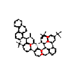 CC1C=C(N(c2ccccc2-c2ccc(C(C)(C)C)cc2)c2ccccc2-c2cccc3cccc(-c4cc(C(C)(C)C)cc(C(C)(C)C)c4)c23)C=CC1c1cccc2c1ccc1ccccc12